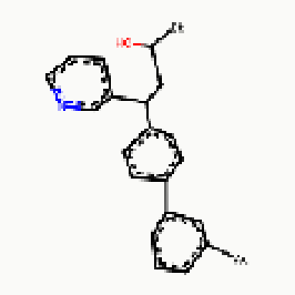 CCC(O)CC(c1ccc(-c2cccc(C(C)=O)c2)cc1)c1cccnc1